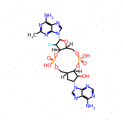 Cc1nc(N)c2ncn([C@@H]3O[C@@H]4COP(=O)(O)O[C@@H]5C(O)[C@H](n6cnc7c(N)ncnc76)C[C@@H]5COP(=O)(O)O[C@@H]4C3F)c2n1